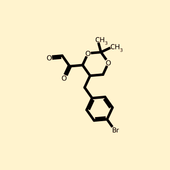 CC1(C)OCC(Cc2ccc(Br)cc2)C(C(=O)C=O)O1